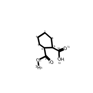 [2H]OC(=O)C1CCCCC1C(=O)O